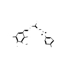 COc1cc(C=NNC(N)=NOS(=O)(=O)c2ccc(C)cc2)c(Cl)c(OC)c1OC